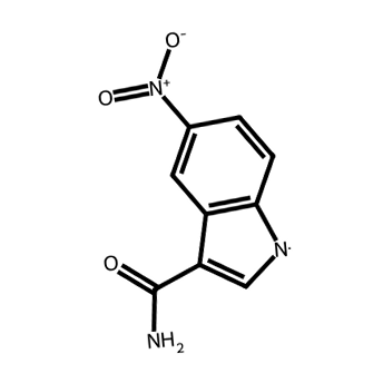 NC(=O)C1=C[N]c2ccc([N+](=O)[O-])cc21